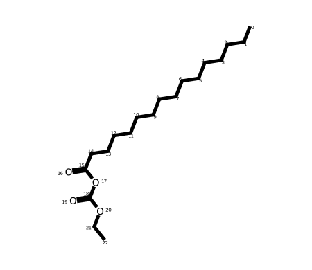 CCCCCCCCCCCCCCCC(=O)OC(=O)OCC